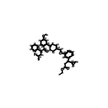 CCOC(=O)CC(c1ccnc(OCC2CCN(c3cc(OC)ccc3C(=O)N(CC(F)F)c3ncccn3)CC2)c1)C1CC1